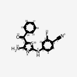 N#Cc1ccc(Nc2nc(N)c(C(=O)c3ccccc3)s2)cc1F